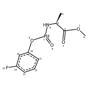 COC(=O)[C@H](C)N[PH](=O)Oc1cccc(F)c1